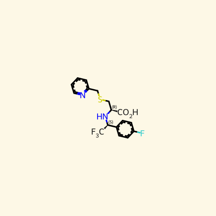 O=C(O)[C@H](CSCc1ccccn1)N[C@@H](c1ccc(F)cc1)C(F)(F)F